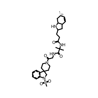 C[C@@H]1C=CC2CC(CCC(=O)NC(C)(C)C(=O)NCC(=O)N3CCC4(CC3)CN(S(C)(=O)=O)c3ccccc34)NC2C1